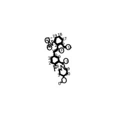 COC1CCN(C(=O)c2cc(/C=C3\OC(=O)c4cccc([N+](=O)[O-])c43)ccc2F)CC1